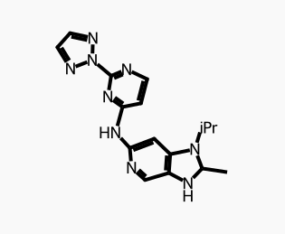 CC(C)N1c2cc(Nc3ccnc(-n4nccn4)n3)ncc2NC1C